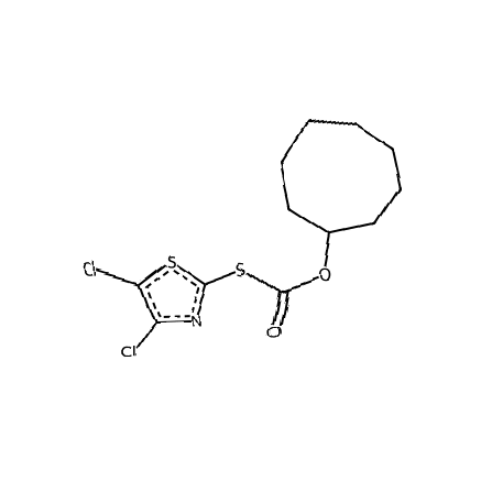 O=C(OC1CCCCCCC1)Sc1nc(Cl)c(Cl)s1